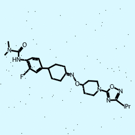 CC(C)c1noc(N2CCC(ON=C3CCC(c4ccc(NC(=O)N(C)C)c(F)c4)CC3)CC2)n1